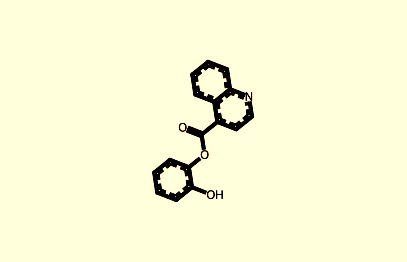 O=C(Oc1ccccc1O)c1ccnc2ccccc12